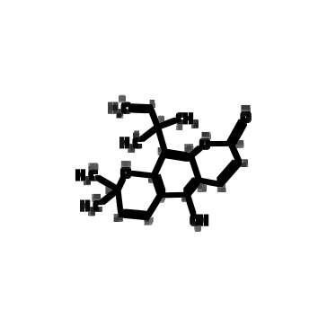 C=CC(C)(C)c1c2c(c(O)c3ccc(=O)oc13)C=CC(C)(C)O2